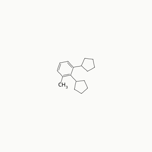 Cc1cccc(C2CCCC2)c1C1CCCC1